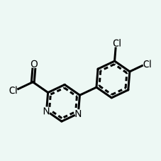 O=C(Cl)c1cc(-c2ccc(Cl)c(Cl)c2)ncn1